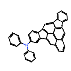 c1ccc(N(c2ccccc2)c2ccc3c(c2)c2cc4cccc5cc6c7ccccc7c7cc3c2c(c54)c67)cc1